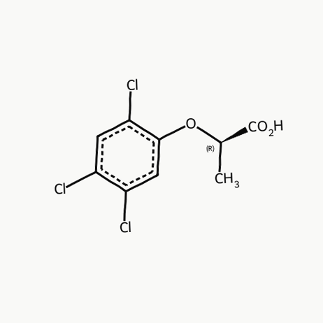 C[C@@H](Oc1cc(Cl)c(Cl)cc1Cl)C(=O)O